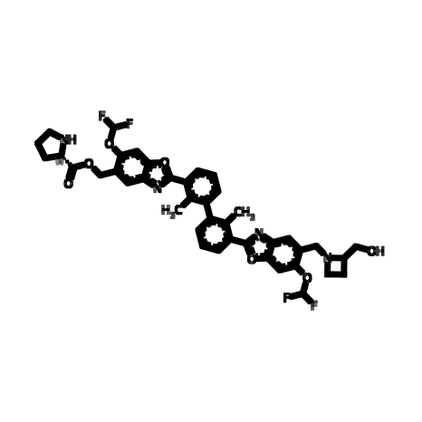 Cc1c(-c2nc3cc(COC(=O)[C@@H]4CCCN4)c(OC(F)F)cc3o2)cccc1-c1cccc(-c2nc3cc(CN4CCC4CO)c(OC(F)F)cc3o2)c1C